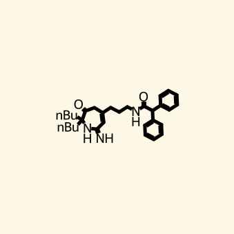 CCCCC1(CCCC)NC(=N)C=C(CCCNC(=O)C(c2ccccc2)c2ccccc2)CC1=O